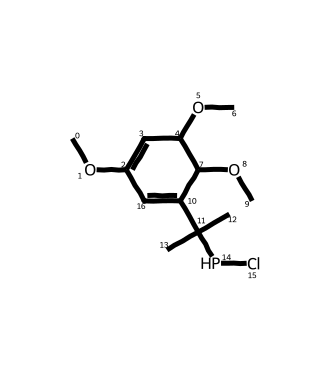 COC1=CC(OC)C(OC)C(C(C)(C)PCl)=C1